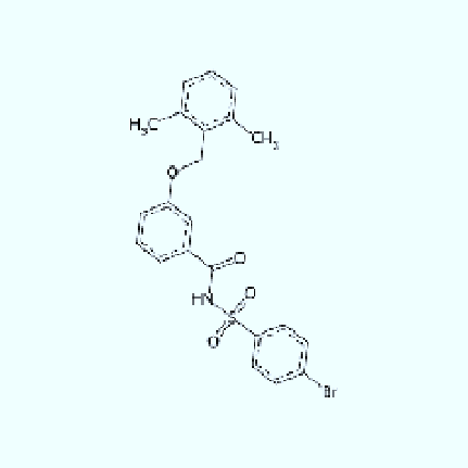 Cc1cccc(C)c1COc1cccc(C(=O)NS(=O)(=O)c2ccc(Br)cc2)c1